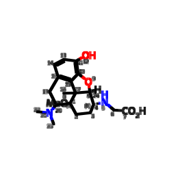 CO[C@@]12CC[C@@H](NCC(=O)O)[C@@H]3Oc4c(O)ccc(c4C31C)CC2N(C)C